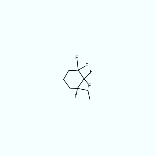 CCC1(F)CCCC(F)(F)C1(F)F